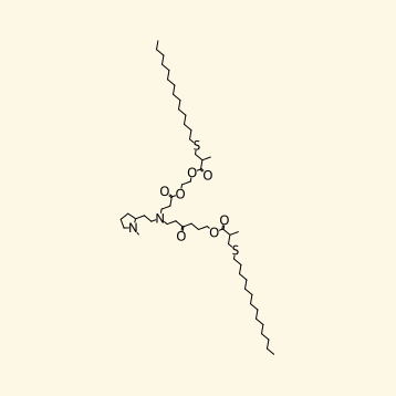 CCCCCCCCCCCCCCSCC(C)C(=O)OCCCC(=O)CCN(CCC(=O)OCCOC(=O)C(C)CSCCCCCCCCCCCCCC)CCC1CCCN1C